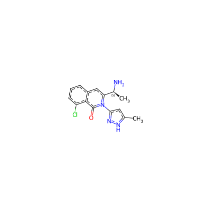 Cc1cc(-n2c([C@H](C)N)cc3cccc(Cl)c3c2=O)n[nH]1